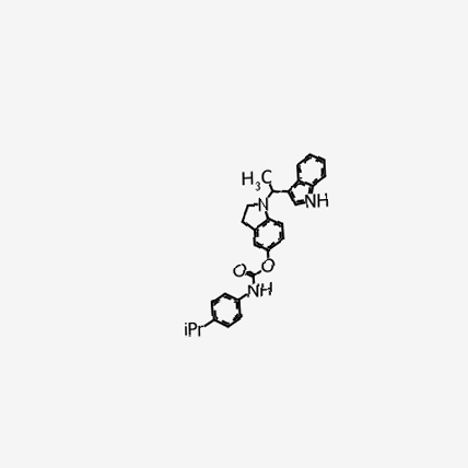 CC(C)c1ccc(NC(=O)Oc2ccc3c(c2)CCN3C(C)c2c[nH]c3ccccc23)cc1